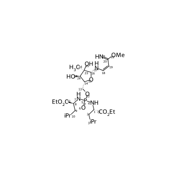 CCOC(=O)[C@H](CC(C)C)NP(=O)(N[C@@H](CC(C)C)C(=O)OCC)OC[C@H]1O[C@@H](N/C=C\C(=N)OC)[C@](C)(O)[C@@H]1O